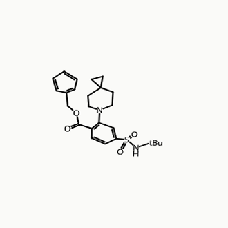 CC(C)(C)NS(=O)(=O)c1ccc(C(=O)OCc2ccccc2)c(N2CCC3(CC2)CC3)c1